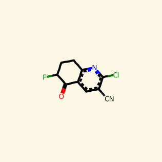 N#Cc1cc2c(nc1Cl)CCC(F)C2=O